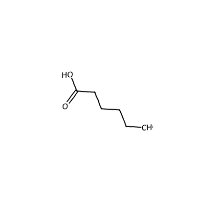 [CH]CCCCC(=O)O